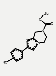 CC(C)(C)OC(=O)N1CCn2cc(-c3ccc(C#N)cc3)nc2C1